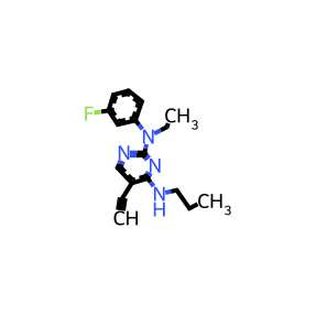 C#Cc1cnc(N(CC)c2cccc(F)c2)nc1NCCC